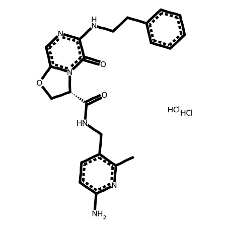 Cc1nc(N)ccc1CNC(=O)[C@@H]1COc2cnc(NCCc3ccccc3)c(=O)n21.Cl.Cl